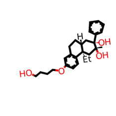 CC[C@@]12C[C@@](C)(O)[C@](O)(c3ccccc3)C[C@H]1CCc1cc(OCCCCO)ccc12